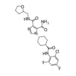 NC(=O)c1c(C(=O)NCC2CCCO2)ncn1[C@H]1CC[C@H](C(=O)Nc2c(F)cc(F)cc2Cl)CC1